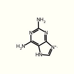 Nc1nc(N)c2c(n1)[N+]=CN2